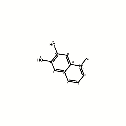 C[n+]1cccc2cc(O)c(O)cc21